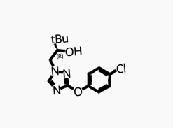 CC(C)(C)[C@@H](O)Cn1cnc(Oc2ccc(Cl)cc2)n1